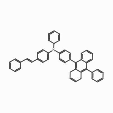 C1=CC=CC(N(c2ccc(C=Cc3ccccc3)cc2)c2ccc(-c3c4c(c(-c5ccccc5)c5ccccc35)CC=CC4)cc2)C=1